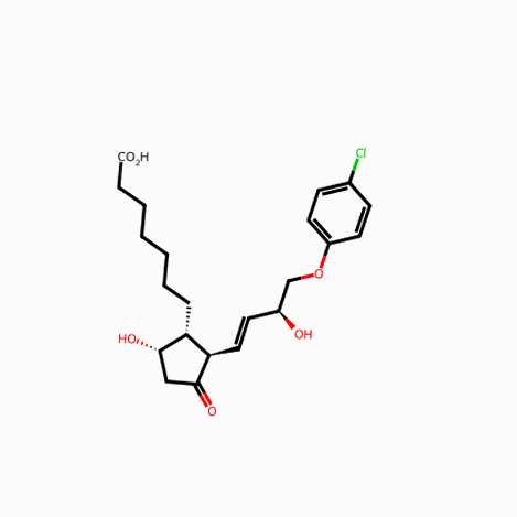 O=C(O)CCCCCC[C@H]1[C@@H](O)CC(=O)[C@@H]1/C=C/[C@H](O)COc1ccc(Cl)cc1